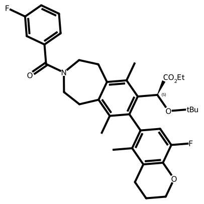 CCOC(=O)[C@@H](OC(C)(C)C)c1c(C)c2c(c(C)c1-c1cc(F)c3c(c1C)CCCO3)CCN(C(=O)c1cccc(F)c1)CC2